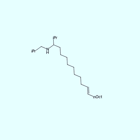 CCCCCCCCC=CCCCCCCCCC(NCC(C)C)C(C)C